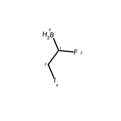 BC(F)CI